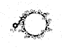 CCC[C@@H]1NC(=O)[C@H]([C@H](OC(C)=O)[C@H](C)CCCc2cccc(N)c2)N(C)C(=O)[C@H](C(C)C)N(C)C(=O)[C@H](CC(C)C)N(C)C(=O)[C@H](CC(C)C)N(C)C(=O)[C@H](C)NC(=O)[C@@H](C)NC(=O)[C@@H](CC(C)C)N(C)C(=O)[C@@H](C(C)C)NC(=O)[C@H](CC(C)C)N(C)C(=O)CN(C)C1=O